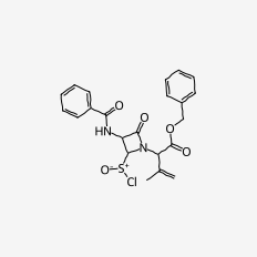 C=C(C)C(C(=O)OCc1ccccc1)N1C(=O)C(NC(=O)c2ccccc2)C1[S+]([O-])Cl